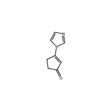 O=C1C=C(n2ccnc2)CC1